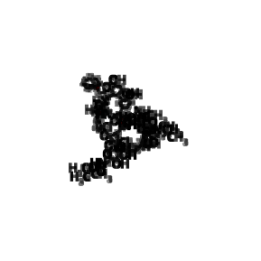 CC(C)C[C@H](C(=O)N[C@H]1C(=O)C[C@@H](CC(N)=O)C(=O)N[C@H]2C(=O)C[C@H]3C(=O)N[C@H](C(=O)N[C@H](C(=O)CC4C5CC6CC(C5)CC4C6)c4cc(O)cc(O)c4-c4cc3ccc4O)[C@H](O)c3ccc(c(Cl)c3)Oc3cc2cc(c3OC2OC(CNC(=O)OC(C)(C)C)C(O)C(O)C2O)Oc2ccc(cc2Cl)[C@H]1O)N(C)C(=O)OC(C)(C)C